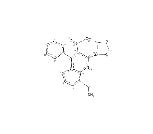 CCc1cccc2c(-c3ccccc3)c(C(=O)O)c(N3CCCC3)nc12